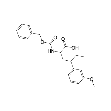 CCC(CC(NC(=O)OCc1ccccc1)C(=O)O)c1cccc(OC)c1